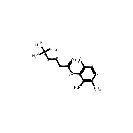 Cc1ccc(N)c(N)c1OC(=O)CCCC(C)(C)C